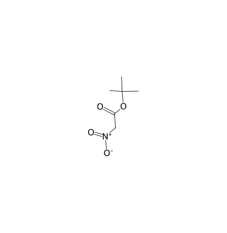 CC(C)(C)OC(=O)C[N+](=O)[O-]